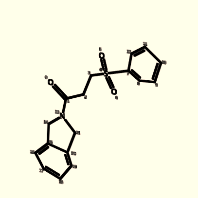 O=C(CCS(=O)(=O)c1ccccc1)N1Cc2ccccc2C1